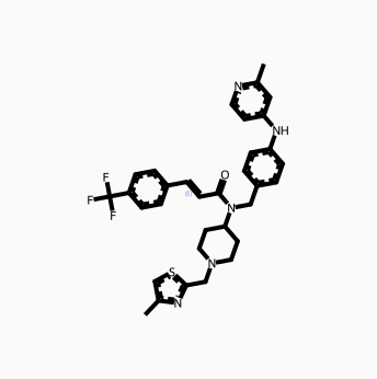 Cc1cc(Nc2ccc(CN(C(=O)/C=C/c3ccc(C(F)(F)F)cc3)C3CCN(Cc4nc(C)cs4)CC3)cc2)ccn1